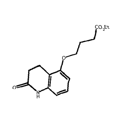 CCOC(=O)CCCOc1cccc2c1CCC(=O)N2